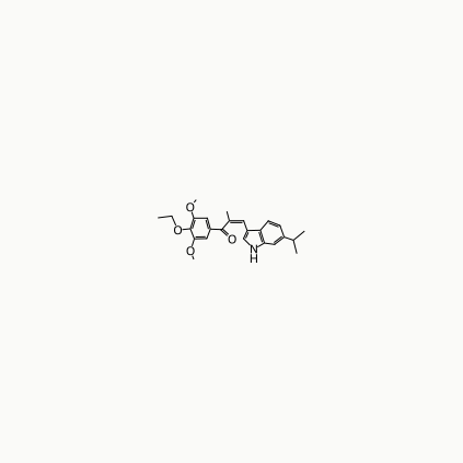 CCOc1c(OC)cc(C(=O)C(C)=Cc2c[nH]c3cc(C(C)C)ccc23)cc1OC